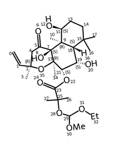 C=C[C@@]1(C)CC(=O)[C@]2(O)[C@@]3(C)[C@@H](O)CCC(C)(C)[C@@H]3[C@H](O)[C@H](OC(=O)C(C)(C)OC(OC)OCC)[C@@]2(C)O1